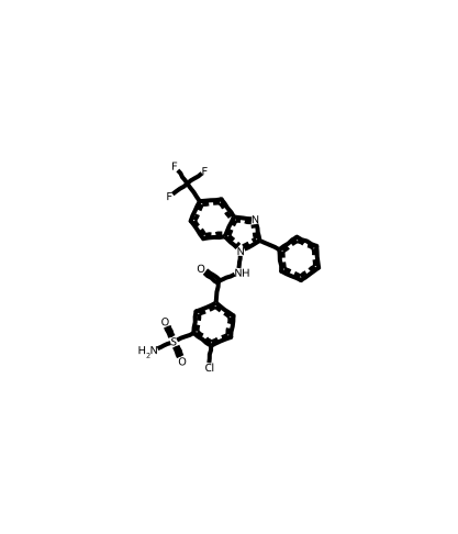 NS(=O)(=O)c1cc(C(=O)Nn2c(-c3ccccc3)nc3cc(C(F)(F)F)ccc32)ccc1Cl